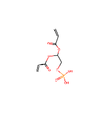 C=CC(=O)OC(COP(=O)(O)O)OC(=O)C=C